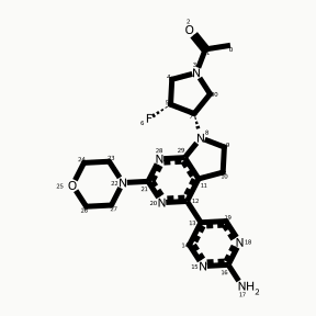 CC(=O)N1C[C@@H](F)[C@@H](N2CCc3c(-c4cnc(N)nc4)nc(N4CCOCC4)nc32)C1